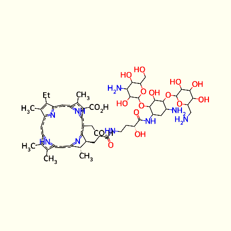 CCC1=C(C)c2cc3[nH]c(cc4nc(c(CC(=O)O)c5[nH]c(cc1n2)c(C)c5C(=O)O)[C@@H](CCC(=O)NCC[C@@H](O)C(=O)NC1CC(N)C(OC2OC(CN)C(O)C(O)C2O)C(O)C1OC1OC(CO)C(O)C(N)C1O)[C@@H]4C)c(C)c3C